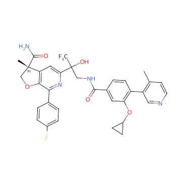 Cc1ccncc1-c1ccc(C(=O)NCC(O)(c2cc3c(c(-c4ccc(F)cc4)n2)OC[C@]3(C)C(N)=O)C(F)(F)F)cc1OC1CC1